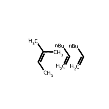 C=CCCCC.C=CCCCC.CC=C(C)C